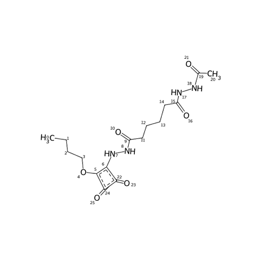 CCCCOc1c(NNC(=O)CCCCC(=O)NNC(C)=O)c(=O)c1=O